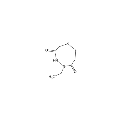 CCN1NC(=O)CSSCC1=O